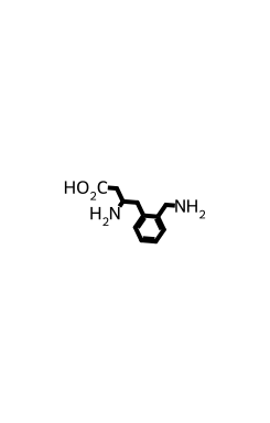 NCc1ccccc1CC(N)CC(=O)O